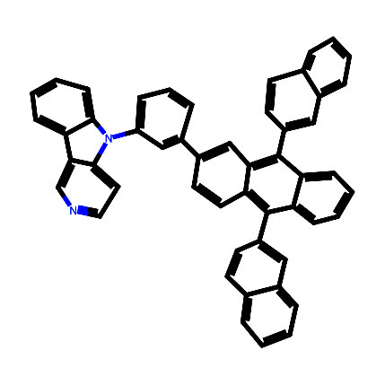 c1cc(-c2ccc3c(-c4ccc5ccccc5c4)c4ccccc4c(-c4ccc5ccccc5c4)c3c2)cc(-n2c3ccccc3c3cnccc32)c1